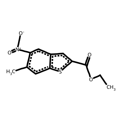 CCOC(=O)c1cc2cc([N+](=O)[O-])c(C)cc2s1